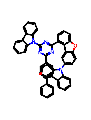 c1ccc(-c2ccc(-c3nc(-c4cccc5oc6ccc(-n7c8ccccc8c8ccccc87)cc6c45)nc(-n4c5ccccc5c5ccccc54)n3)cc2)cc1